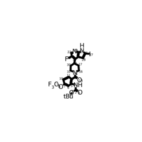 CC(C)(C)OC(=O)Nc1cc(OC(F)(F)F)ccc1C(=O)N1CCC(c2c(F)cnc3[nH]c(I)cc23)CC1